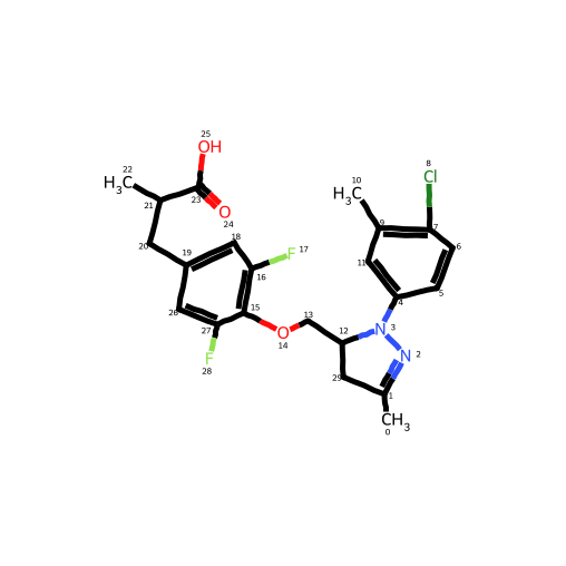 CC1=NN(c2ccc(Cl)c(C)c2)C(COc2c(F)cc(CC(C)C(=O)O)cc2F)C1